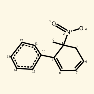 CC1([N+](=O)[O-])CC=CC=C1c1ccccc1